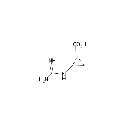 N=C(N)NC1C[C@H]1C(=O)O